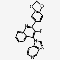 Fc1c(-c2ccc3c(c2)OCO3)nc2ccccc2c1-n1cnc2cnccc21